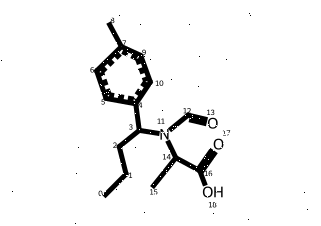 CCCC(c1ccc(C)cc1)N(C=O)C(C)C(=O)O